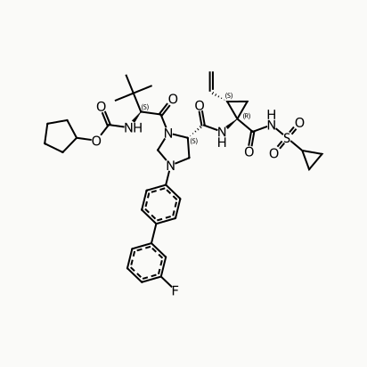 C=C[C@@H]1C[C@]1(NC(=O)[C@@H]1CN(c2ccc(-c3cccc(F)c3)cc2)CN1C(=O)[C@@H](NC(=O)OC1CCCC1)C(C)(C)C)C(=O)NS(=O)(=O)C1CC1